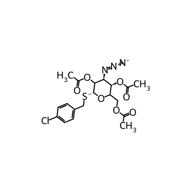 CC(=O)OCC1O[C@H](SCc2ccc(Cl)cc2)C(OC(C)=O)[C@@H](N=[N+]=[N-])[C@H]1OC(C)=O